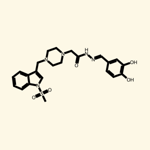 CS(=O)(=O)n1cc(CN2CCN(CC(=O)NN=Cc3ccc(O)c(O)c3)CC2)c2ccccc21